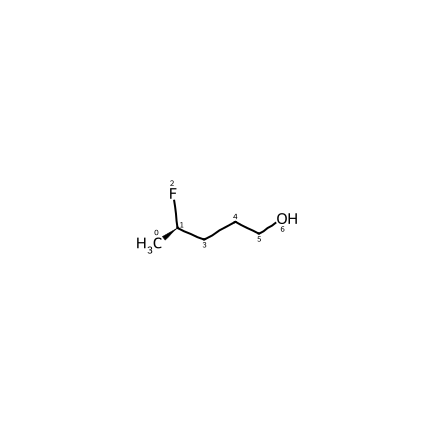 C[C@@H](F)CCCO